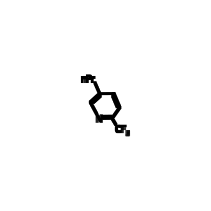 CCCc1ccc(C(F)(F)F)nc1